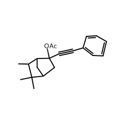 CC(=O)OC1(C#Cc2ccccc2)CC2CC1C(C)C2(C)C